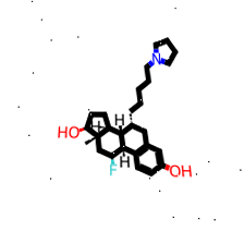 C[C@]12C[C@H](F)[C@@H]3c4ccc(O)cc4C[C@@H](CCCCCN4CCCC4)[C@H]3[C@@H]1CC[C@@H]2O